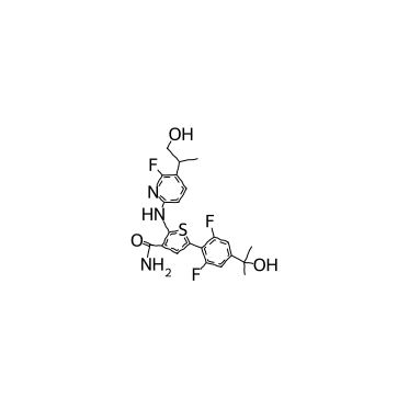 CC(CO)c1ccc(Nc2sc(-c3c(F)cc(C(C)(C)O)cc3F)cc2C(N)=O)nc1F